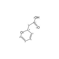 O=C(O)CC1C=CC=CO1